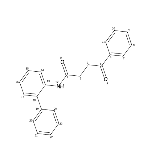 O=C(CCC(=O)c1ccccc1)Nc1ccccc1-c1ccccc1